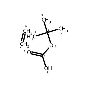 C=C.CC(C)(C)OC(=O)O